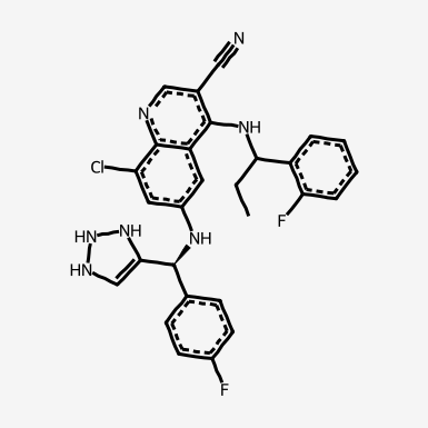 CCC(Nc1c(C#N)cnc2c(Cl)cc(N[C@H](C3=CNNN3)c3ccc(F)cc3)cc12)c1ccccc1F